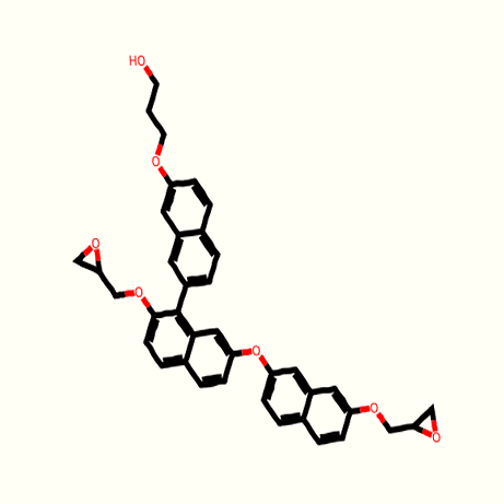 OCCCOc1ccc2ccc(-c3c(OCC4CO4)ccc4ccc(Oc5ccc6ccc(OCC7CO7)cc6c5)cc34)cc2c1